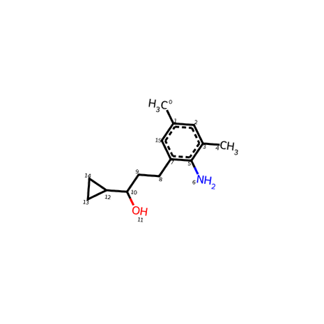 Cc1cc(C)c(N)c(CCC(O)C2CC2)c1